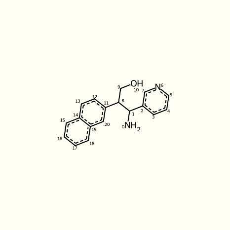 NC(c1cccnc1)C(CO)c1ccc2ccccc2c1